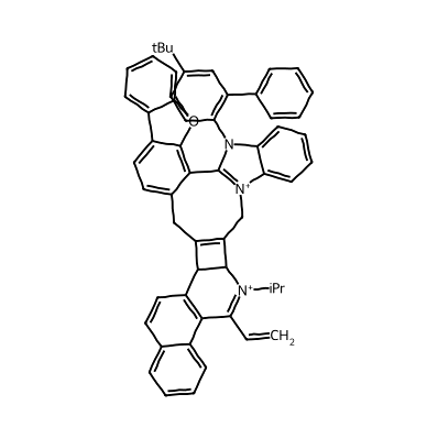 C=CC1=[N+](C(C)C)C2C3=C(Cc4ccc5c(oc6ccccc65)c4-c4n(-c5ccc(C(C)(C)C)cc5-c5ccccc5)c5ccccc5[n+]4C3)C2c2ccc3ccccc3c21